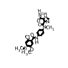 COc1cc(Cl)c(C(=O)Nc2ccc(N(C)C(=O)c3nc[nH]c3C(N)=O)cc2)cc1OC